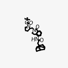 CC(C)(C)OC(=O)N1CCCC1CN1CCc2c(NC(=O)CC34CC5CC(CC(C5)C3)C4)cccc2C1=O